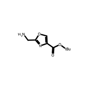 CC(C)(C)OC(=O)c1coc(CN)n1